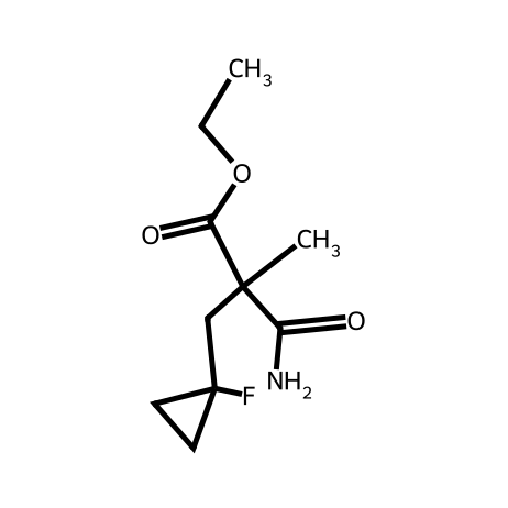 CCOC(=O)C(C)(CC1(F)CC1)C(N)=O